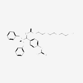 COCCOCCOCCOC(=O)NC(c1ccc(NC(=N)N)cc1)P(=O)(Oc1ccccc1)Oc1ccccc1